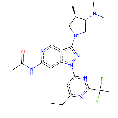 CCc1cc(-n2nc(N3C[C@@H](C)[C@H](N(C)C)C3)c3cnc(NC(C)=O)cc32)nc(C(C)(F)F)n1